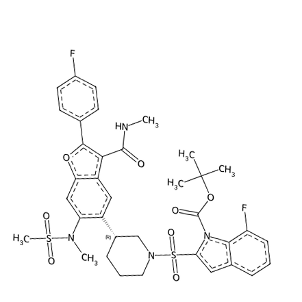 CNC(=O)c1c(-c2ccc(F)cc2)oc2cc(N(C)S(C)(=O)=O)c([C@H]3CCCN(S(=O)(=O)c4cc5cccc(F)c5n4C(=O)OC(C)(C)C)C3)cc12